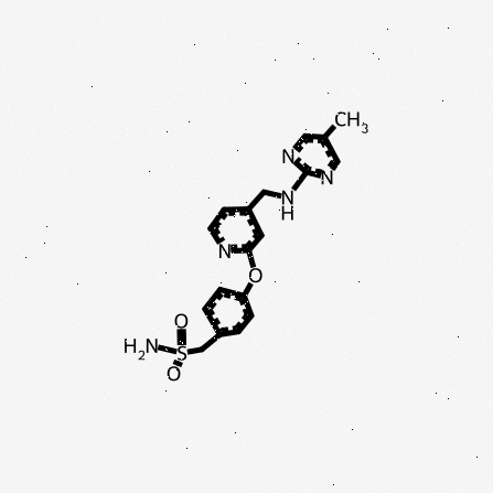 Cc1cnc(NCc2ccnc(Oc3ccc(CS(N)(=O)=O)cc3)c2)nc1